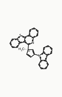 C[C@@]1(c2nc3ccccc3c3sc4ccccc4c23)C=CC(n2c3ccccc3c3ccccc32)=C1